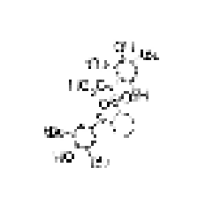 CC(C)(C)c1cc(SC2CCCCC2S(=O)(=O)C(C(=O)O)c2c(S)cc(C(C)(C)C)c(O)c2C(C)(C)C)cc(C(C)(C)C)c1O